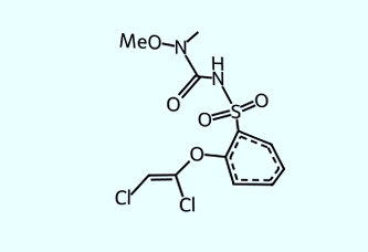 CON(C)C(=O)NS(=O)(=O)c1ccccc1OC(Cl)=CCl